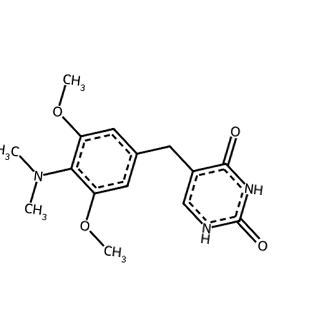 COc1cc(Cc2c[nH]c(=O)[nH]c2=O)cc(OC)c1N(C)C